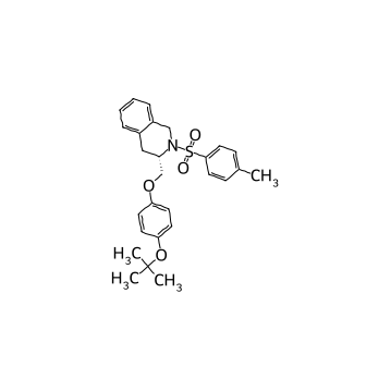 Cc1ccc(S(=O)(=O)N2Cc3ccccc3C[C@H]2COc2ccc(OC(C)(C)C)cc2)cc1